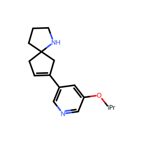 CC(C)Oc1cncc(C2=CCC3(CCCN3)C2)c1